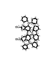 CC(C)(C)c1nc2c(N(c3ccccc3)c3ccccc3)cc3c(c2o1)-c1c(cc(N(c2ccccc2)c2ccccc2)c2nc(C(C)(C)C)oc12)[Si]31c2ccccc2-c2ccccc21